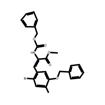 COC(=O)/C(=C\c1cc(OCc2ccccc2)c(C)cc1Br)NC(=O)OCc1ccccc1